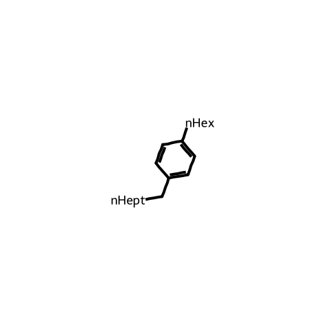 [CH2]CCCCCCCc1ccc(CCCCCC)cc1